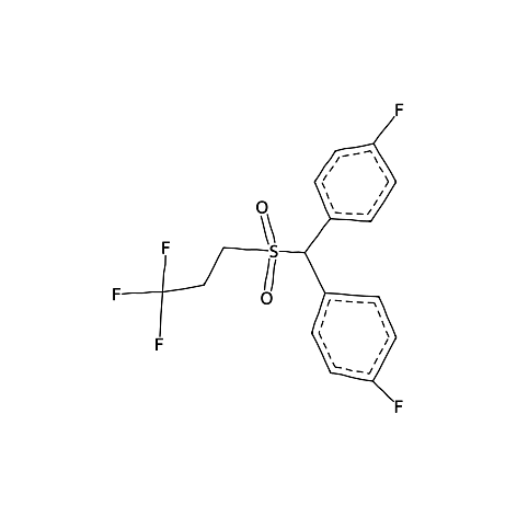 O=S(=O)(CCC(F)(F)F)C(c1ccc(F)cc1)c1ccc(F)cc1